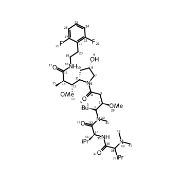 CC[C@H](C)C([C@@H](CC(=O)N1C[C@@H](O)C[C@H]1[C@H](OC)[C@@H](C)C(=O)NCCc1c(F)cccc1F)OC)N(C)C(=O)[C@@H](NC(=O)C(C(C)C)N(C)C)C(C)C